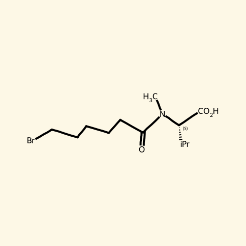 CC(C)[C@@H](C(=O)O)N(C)C(=O)CCCCCBr